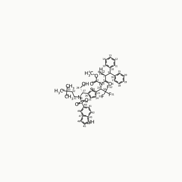 COC(=O)N(C(=O)[C@@H](N)C(c1ccccc1)c1ccccc1)[C@H](c1ccc([C@@H](CO)N(CCC(C)(C)C)S(=O)(=O)c2ccc3[nH]ccc3c2)s1)C(F)(F)F